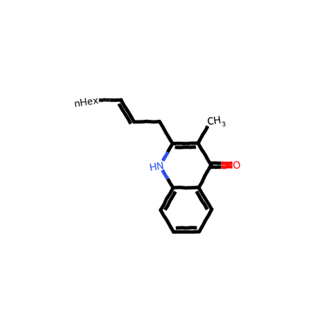 CCCCCC/C=C/Cc1[nH]c2ccccc2c(=O)c1C